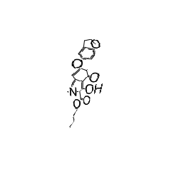 CCCCOC(=O)C1[N]C=C2C=C(Oc3ccc4c(c3)CCO4)CC(=O)C2=C1O